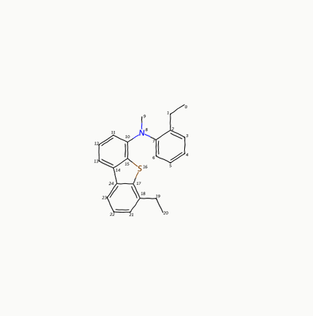 CCc1ccccc1N(C)c1cccc2c1sc1c(CC)cccc12